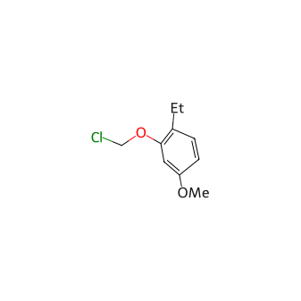 CCc1ccc(OC)cc1OCCl